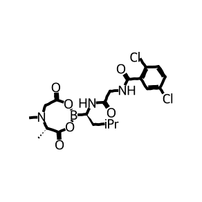 CC(C)C[C@H](NC(=O)CNC(=O)c1cc(Cl)ccc1Cl)B1OC(=O)CN(C)[C@@H](C)C(=O)O1